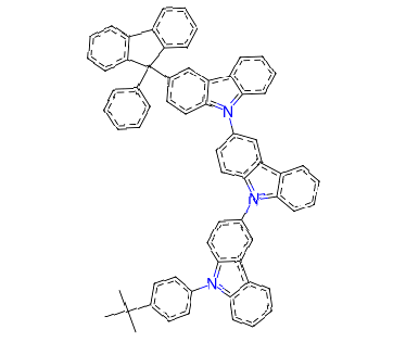 CC(C)(C)c1ccc(-n2c3ccccc3c3cc(-n4c5ccccc5c5cc(-n6c7ccccc7c7cc(C8(c9ccccc9)c9ccccc9-c9ccccc98)ccc76)ccc54)ccc32)cc1